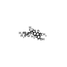 C/C=C1/C(=O)C2C3CCC([C@H](C)CCC(=O)N(C)OC)[C@@]3(C)CCC2[C@@]2(C)CC[C@@H](O)C[C@@H]12